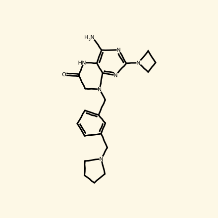 Nc1nc(N2CCC2)nc2c1NC(=O)CN2Cc1cccc(CN2CCCC2)c1